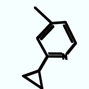 Cc1ccnc(C2CC2)c1